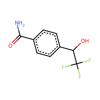 NC(=O)c1ccc(C(O)C(F)(F)F)cc1